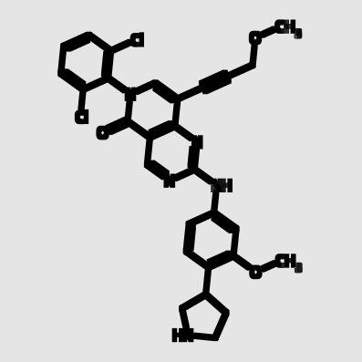 COCC#Cc1cn(-c2c(Cl)cccc2Cl)c(=O)c2cnc(Nc3ccc(C4CCNC4)c(OC)c3)nc12